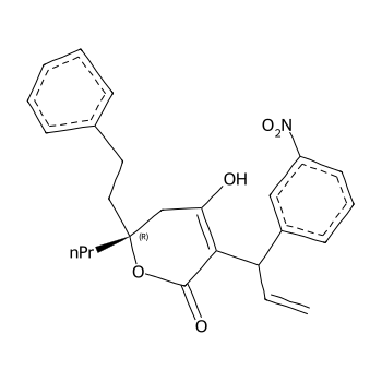 C=CC(C1=C(O)C[C@@](CCC)(CCc2ccccc2)OC1=O)c1cccc([N+](=O)[O-])c1